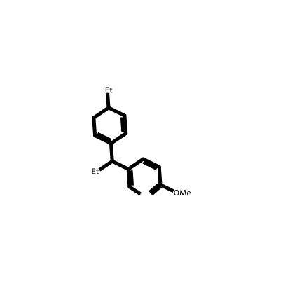 C=C(/C=C\C(=C/C)C(CC)C1=CCC(CC)C=C1)OC